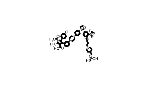 Cc1c(C(=O)O)c(-c2cccc(N3CCN(c4ccc(N5CCOP5c5ccc(NCCCN6CCC(COP(O)O)CC6)c([S+]([O-])C(F)(F)F)c5)cc4)CC3)c2)c(-c2ccc(Cl)cc2)n1C(C)C